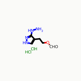 Cl.Cl.NNc1n[nH]cc1CCOC=O